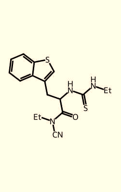 CCNC(=S)NC(Cc1csc2ccccc12)C(=O)N(C#N)CC